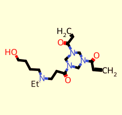 C=CC(=O)N1CN(C(=O)C=C)CN(C(=O)CCN(CC)CCCCO)C1